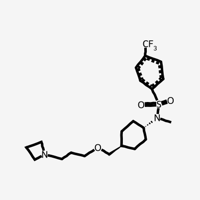 CN([C@H]1CC[C@H](COCCCN2CCC2)CC1)S(=O)(=O)c1ccc(C(F)(F)F)cc1